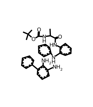 CC(NC(=O)OC(C)(C)C)C(=O)Nc1ccccc1Nc1ccccc1.Nc1cccc(-c2ccccc2)c1N